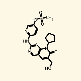 CS(=O)(=O)Nc1ccc(Nc2ncc3cc(CO)c(=O)n(C4CCCC4)c3n2)nc1